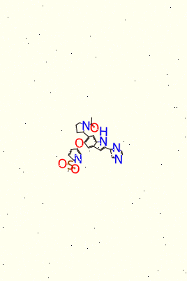 CC(=O)N1CCCC1c1cc2[nH]c(-c3cnccn3)cc2cc1Oc1ccc(S(C)(=O)=O)nc1